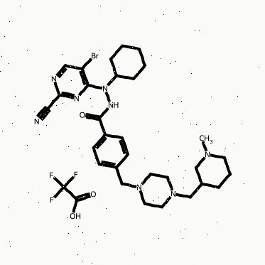 CN1CCCC(CN2CCN(Cc3ccc(C(=O)NN(c4nc(C#N)ncc4Br)C4CCCCC4)cc3)CC2)C1.O=C(O)C(F)(F)F